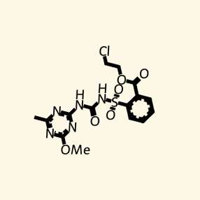 COc1nc(C)nc(NC(=O)NS(=O)(=O)c2ccccc2C(=O)OCCCl)n1